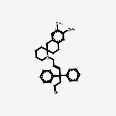 COc1cc2c(cc1OC)CC1(CCCCN1CC=CC(CCC#N)(c1ccccc1)c1ccccc1)CC2